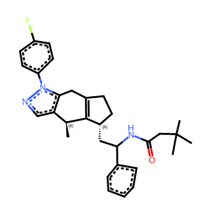 C[C@@H]1C2=C(CC[C@@H]2CC(NC(=O)CC(C)(C)C)c2ccccc2)Cc2c1cnn2-c1ccc(F)cc1